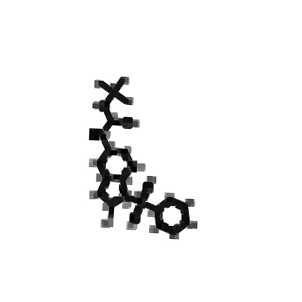 CC(C)(C)OC(=O)Nc1cnc2c(c1)cc(I)n2S(=O)(=O)c1ccccc1